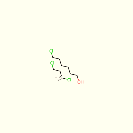 ClCC[SiH2]Cl.OCCCCCCCl